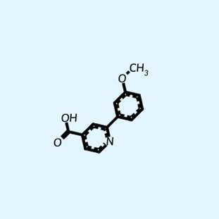 COc1cccc(-c2cc(C(=O)O)ccn2)c1